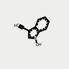 C#Cc1cn(O)c2ccccc12